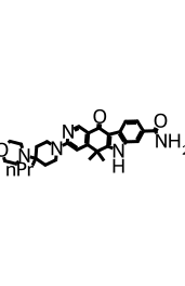 CCCC1(N2CCOCC2)CCN(c2cc3c(cn2)C(=O)c2c([nH]c4cc(C(N)=O)ccc24)C3(C)C)CC1